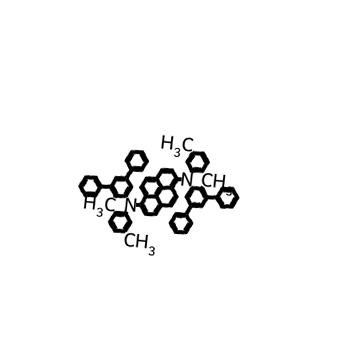 Cc1cccc(N(c2cc(-c3ccccc3)cc(-c3ccccc3)c2C)c2ccc3ccc4c(N(c5cccc(C)c5)c5cc(-c6ccccc6)cc(-c6ccccc6)c5C)ccc5ccc2c3c54)c1